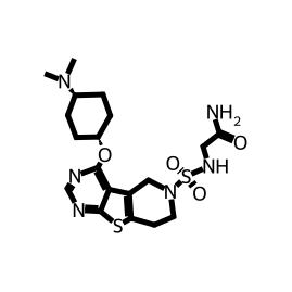 CN(C)[C@H]1CC[C@H](Oc2ncnc3sc4c(c23)CN(S(=O)(=O)NCC(N)=O)CC4)CC1